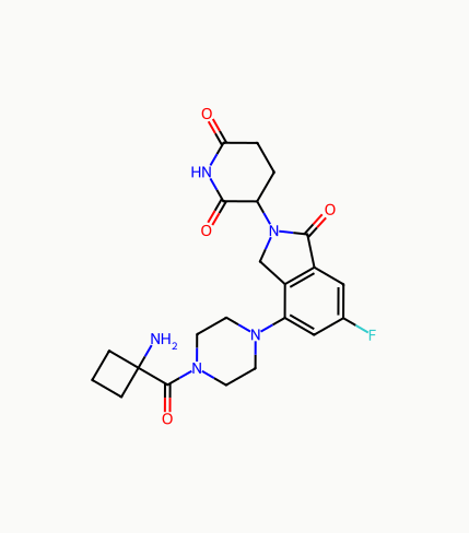 NC1(C(=O)N2CCN(c3cc(F)cc4c3CN(C3CCC(=O)NC3=O)C4=O)CC2)CCC1